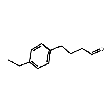 CCc1ccc(CCC[C]=O)cc1